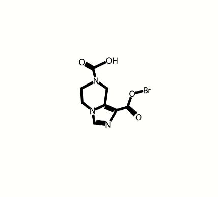 O=C(OBr)c1ncn2c1CN(C(=O)O)CC2